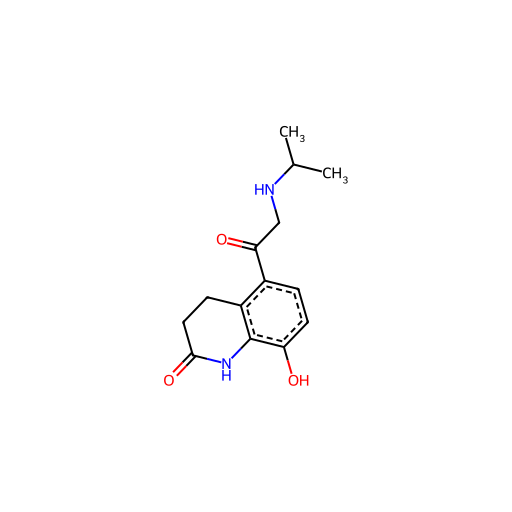 CC(C)NCC(=O)c1ccc(O)c2c1CCC(=O)N2